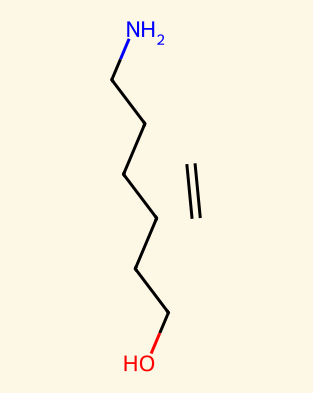 C=C.NCCCCCCO